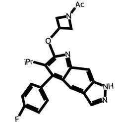 CC(=O)N1CC(Oc2nc3cc4[nH]ncc4cc3c(-c3ccc(F)cc3)c2C(C)C)C1